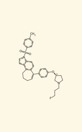 Cc1ccc(S(=O)(=O)n2ccc3c4c(ccc32)C(c2ccc(O[C@H]3CCN(CCCF)C3)cc2)=CCCC4)cc1